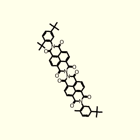 CC1=C(N2C(=O)c3ccc4c5c(ccc(c35)C2=O)C(=O)N(N2C(=O)c3ccc5c6c(ccc(c36)C2=O)C(=O)N(c2cc(C(C)(C)C)ccc2C(C)(C)C)C5=O)C4=O)CC(C(C)(C)C)C=C1